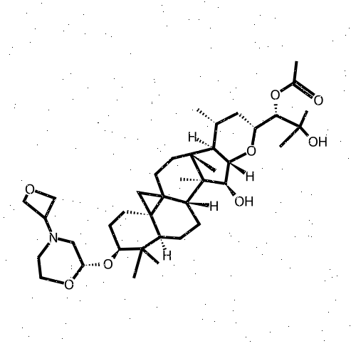 CC(=O)O[C@@H]([C@H]1C[C@@H](C)[C@H]2[C@H](O1)[C@@H](O)[C@@]1(C)[C@@H]3CC[C@H]4C(C)(C)[C@@H](O[C@H]5CN(C6COC6)CCO5)CC[C@@]45CC35CC[C@]21C)C(C)(C)O